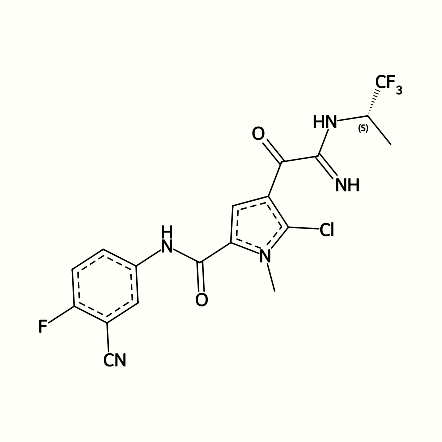 C[C@H](NC(=N)C(=O)c1cc(C(=O)Nc2ccc(F)c(C#N)c2)n(C)c1Cl)C(F)(F)F